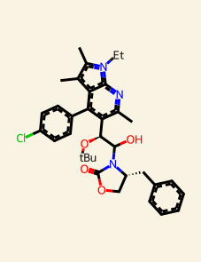 CCn1c(C)c(C)c2c(-c3ccc(Cl)cc3)c([C@H](OC(C)(C)C)C(O)N3C(=O)OC[C@H]3Cc3ccccc3)c(C)nc21